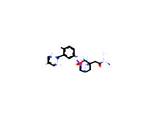 CNC(=O)CC12CC(C)CC(C1)N2C(=O)Nc1ccc(C)c(-c2ncc(F)cn2)c1